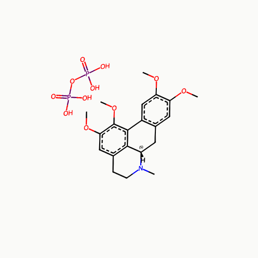 COc1cc2c(cc1OC)-c1c(OC)c(OC)cc3c1[C@H](C2)N(C)CC3.O=P(O)(O)OP(=O)(O)O